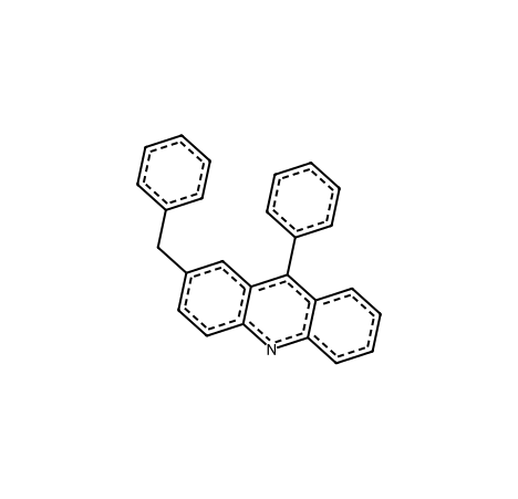 c1ccc(Cc2ccc3nc4ccccc4c(-c4ccccc4)c3c2)cc1